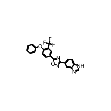 FC(F)(F)c1cc(-c2nc(-c3ccc4[nH]cnc4c3)no2)ccc1Oc1ccccc1